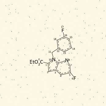 CCOC(=O)c1cc2cc(F)cnc2n1Cc1cccc(F)c1